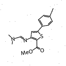 COC(=O)c1sc(-c2ccc(C)cc2)cc1/N=C/N(C)C